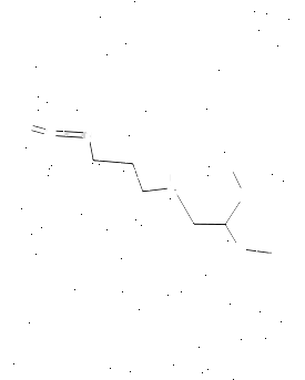 CCOC(C[SiH2]CCCN=C=O)OCC